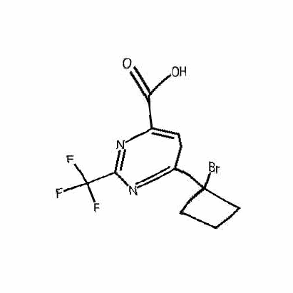 O=C(O)c1cc(C2(Br)CCC2)nc(C(F)(F)F)n1